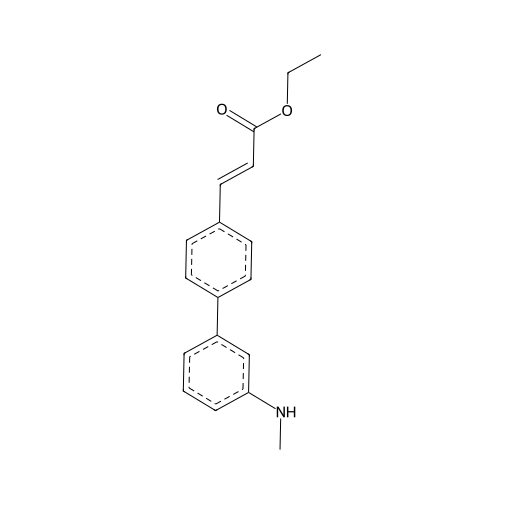 CCOC(=O)/C=C/c1ccc(-c2cccc(NC)c2)cc1